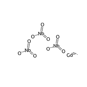 [Gd+3].[O]=[Nb](=[O])[O-].[O]=[Nb](=[O])[O-].[O]=[Nb](=[O])[O-]